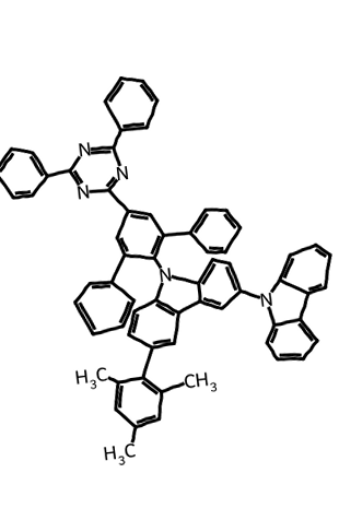 Cc1cc(C)c(-c2ccc3c(c2)c2cc(-n4c5ccccc5c5ccccc54)ccc2n3-c2c(-c3ccccc3)cc(-c3nc(-c4ccccc4)nc(-c4ccccc4)n3)cc2-c2ccccc2)c(C)c1